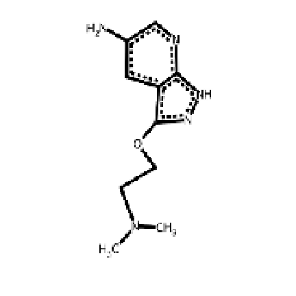 CN(C)CCOc1n[nH]c2ncc(N)cc12